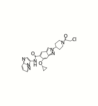 O=C(Nc1cnc2cccnn12)c1cc2cn(C3CCN(C(=O)CCl)CC3)nc2cc1OC1CC1